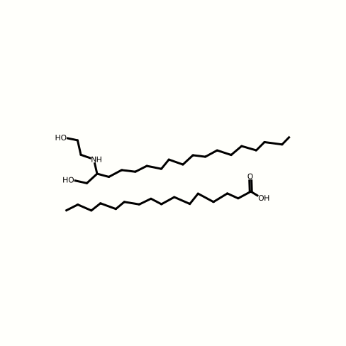 CCCCCCCCCCCCCCCC(=O)O.CCCCCCCCCCCCCCCCC(CO)NCCO